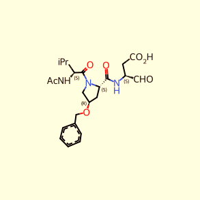 CC(=O)N[C@H](C(=O)N1C[C@H](OCc2ccccc2)C[C@H]1C(=O)N[C@H](C=O)CC(=O)O)C(C)C